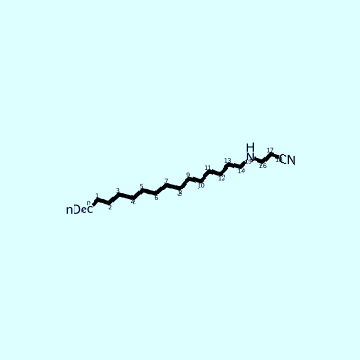 CCCCCCCCCCCCCCCCCCCCCCCCNCCC#N